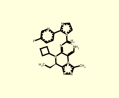 C=C(/N=C1\C(=C/N)n2c(C)nnc2[C@@H](CC)N1C1CCC1)n1ccnc1-c1ccc(F)cn1